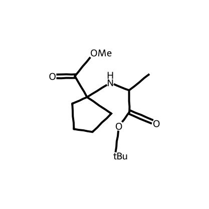 COC(=O)C1(NC(C)C(=O)OC(C)(C)C)CCCC1